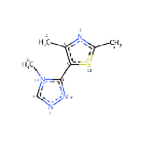 Cc1nc(C)c(-c2nncn2C)s1